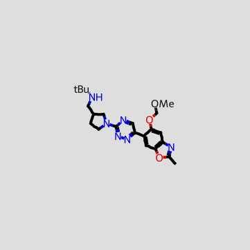 COCOc1cc2nc(C)oc2cc1-c1cnc(N2CCC(CNC(C)(C)C)C2)nn1